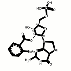 CNc1ccccc1C(=O)O[C@@H]1[C@H](O)[C@@H](COP(=O)(O)O)O[C@H]1N1CNC2C(=O)NC(N)N=C21